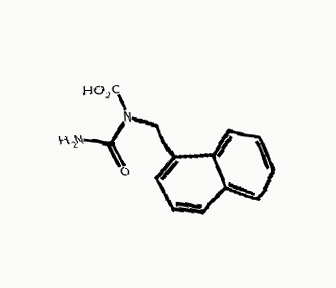 NC(=O)N(Cc1cccc2ccccc12)C(=O)O